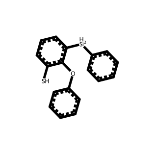 Sc1cccc([SiH2]c2ccccc2)c1Oc1ccccc1